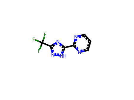 FC(F)(F)c1n[nH]c(-c2ncccn2)n1